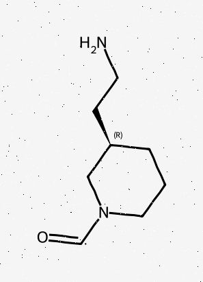 NCC[C@H]1CCCN([C]=O)C1